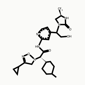 CC1CCC([C@@H](C(=O)Nc2cc(C(CO)N3C[C@@H](C(F)(F)F)NC3=O)ccn2)N2CC(C3CC3)=NO2)CC1